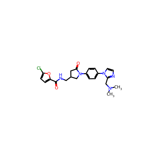 CN(C)Cc1nccn1-c1ccc(N2CC(CNC(=O)c3ccc(Cl)o3)CC2=O)cc1